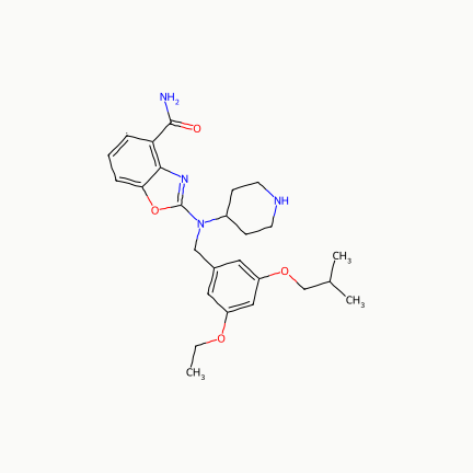 CCOc1cc(CN(c2nc3c(C(N)=O)[c]ccc3o2)C2CCNCC2)cc(OCC(C)C)c1